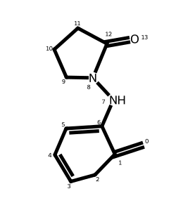 C=C1CC=CC=C1NN1CCCC1=O